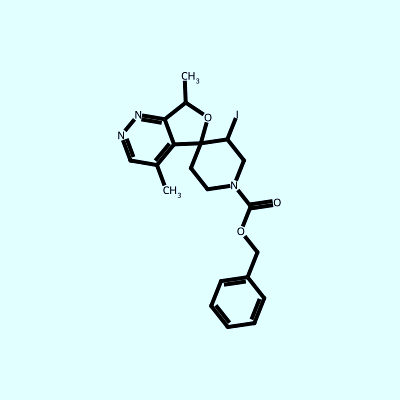 Cc1cnnc2c1C1(CCN(C(=O)OCc3ccccc3)CC1I)OC2C